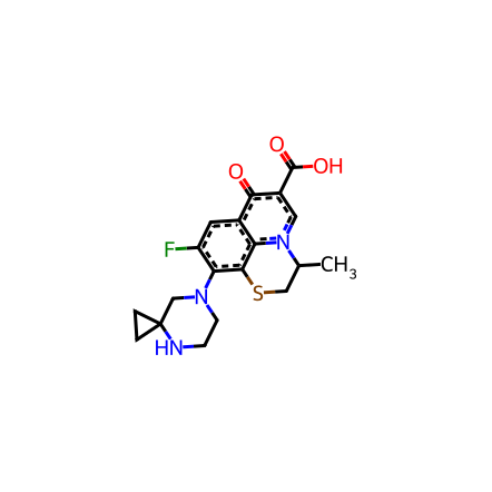 CC1CSc2c(N3CCNC4(CC4)C3)c(F)cc3c(=O)c(C(=O)O)cn1c23